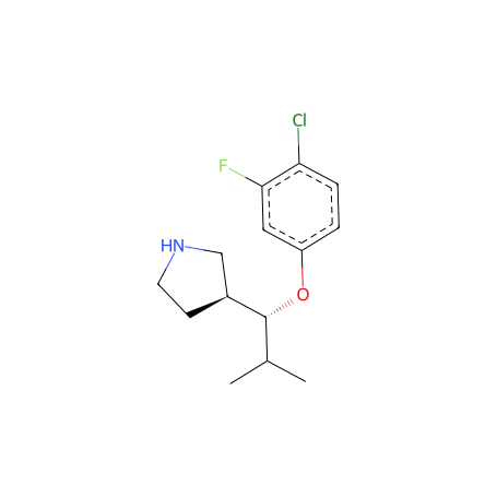 CC(C)[C@@H](Oc1ccc(Cl)c(F)c1)[C@H]1CCNC1